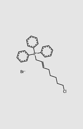 ClCCCCCC=CC[P+](c1ccccc1)(c1ccccc1)c1ccccc1.[Br-]